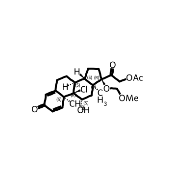 COCO[C@]1(C(=O)COC(C)=O)CC[C@H]2[C@@H]3CCC4=CC(=O)C=C[C@]4(C)[C@@]3(Cl)[C@@H](O)C[C@@]21C